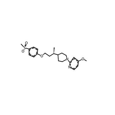 COc1ccnc(N2CCC([C@H](C)CCOc3ccc(S(C)(=O)=O)cc3)CC2)c1